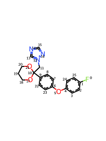 Fc1ccc(Oc2ccc(C3(Cn4cncn4)OCCCO3)cc2)cc1